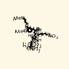 COCCCOc1cc(CC(CC(NC(=O)CCCCO[N+](=O)[O-])C(O)CC(C(=O)NCC(C)(C)C(N)=O)C(C)C)C(C)C)ccc1OC